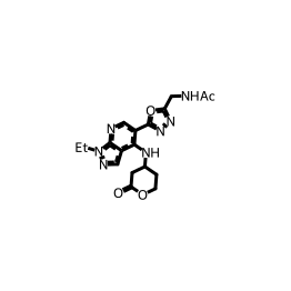 CCn1ncc2c(NC3CCOC(=O)C3)c(-c3nnc(CNC(C)=O)o3)cnc21